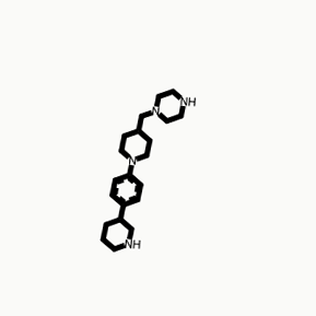 c1cc(N2CCC(CN3CCNCC3)CC2)ccc1C1CCCNC1